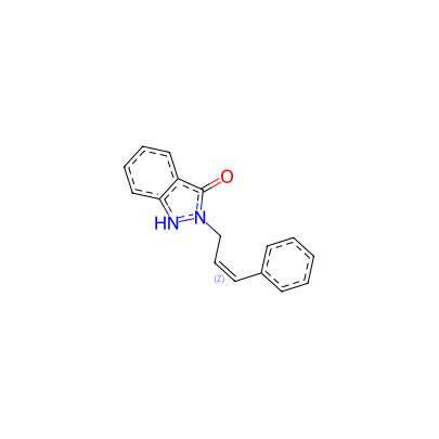 O=c1c2ccccc2[nH]n1C/C=C\c1ccccc1